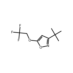 CC(C)(C)c1cc(OCC(F)(F)F)on1